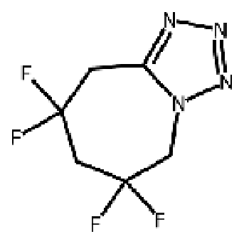 FC1(F)Cc2nnnn2CC(F)(F)C1